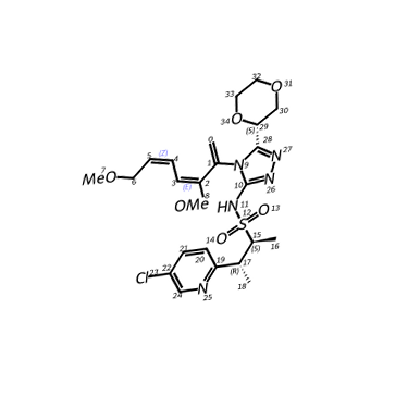 C=C(/C(=C\C=C/COC)OC)n1c(NS(=O)(=O)[C@@H](C)[C@H](C)c2ccc(Cl)cn2)nnc1[C@H]1COCCO1